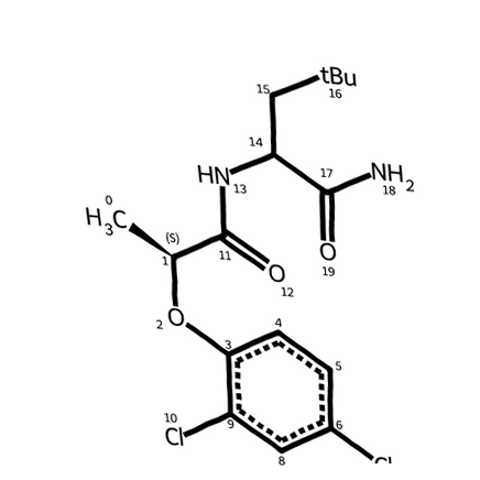 C[C@H](Oc1ccc(Cl)cc1Cl)C(=O)NC(CC(C)(C)C)C(N)=O